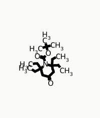 CCC1(CC)CC(=O)CC(CC)(CC)N1C(=O)OC(C)(C)C